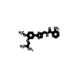 COc1ccc(-c2nc(CNC(=O)c3ncccc3C)co2)cc1OCC(C)C